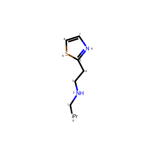 CC(C)CNCCc1nccs1